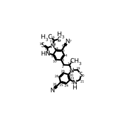 CC(Cc1cc(C#N)c2c(c1)[nH]c(=S)n2C(C)C)N1CSCNc2cc(C#N)ccc21